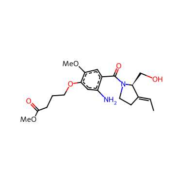 C/C=C1\CCN(C(=O)c2cc(OC)c(OCCCC(=O)OC)cc2N)[C@H]1CO